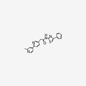 Cc1cc(-c2ccc(CC(=O)Nc3nc(-c4ccccc4)cs3)cn2)ccn1